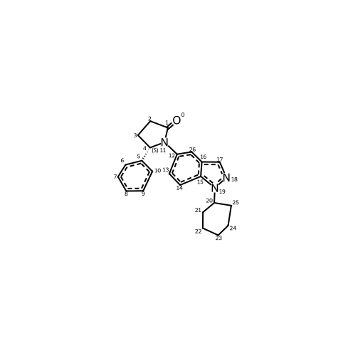 O=C1CC[C@@H](c2ccccc2)N1c1ccc2c(cnn2C2CCCCC2)c1